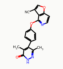 Cc1n[nH]c(=O)c(C)c1-c1ccc(Oc2nccc3occ(C#N)c23)cc1